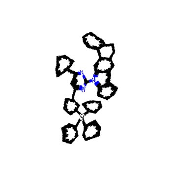 c1ccc(-c2cc(-c3cccc([Si](c4ccccc4)(c4ccccc4)c4ccccc4)c3)nc(-n3c4ccccc4c4cc5c(cc43)-c3ccccc3CC5)n2)cc1